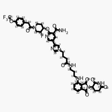 NC(=O)c1cc(-c2cn(CCCC(=O)NCCCNc3cccc4c3C(=O)N(C3CCC(=O)NC3=O)C4=O)cn2)cnc1O[C@@H]1CCN(C(=O)Cc2ccc(OC(F)(F)F)cc2)C[C@H]1F